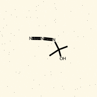 CC(C)(O)N=[N+]=[N-]